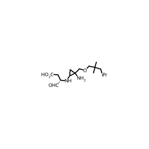 CC(C)CC(C)(C)COCC1(N)CC1N[C@H](C=O)CC(=O)O